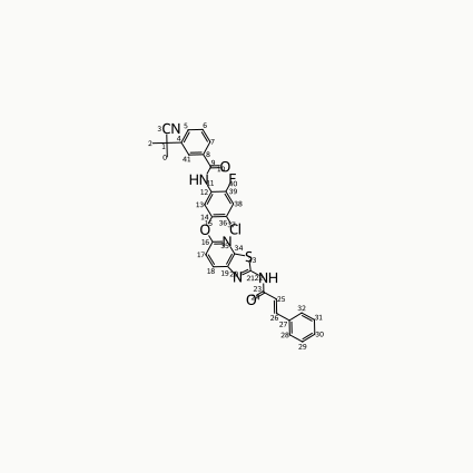 CC(C)(C#N)c1cccc(C(=O)Nc2cc(Oc3ccc4nc(NC(=O)/C=C/c5ccccc5)sc4n3)c(Cl)cc2F)c1